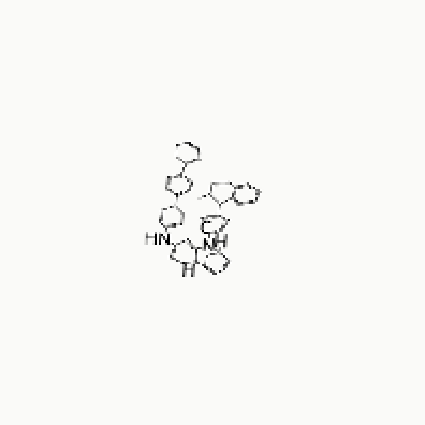 CC1C=Cc2ccccc2C1c1ccc(N2C3=CC(NC4=CCC(c5ccc(C6=CC=CCC6)cc5)C=C4)=CC[C@H]3C3=CC=C[C@@H]2C3)cc1